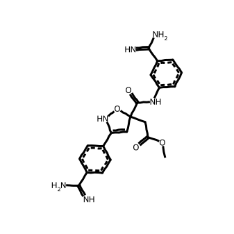 COC(=O)CC1(C(=O)Nc2cccc(C(=N)N)c2)C=C(c2ccc(C(=N)N)cc2)NO1